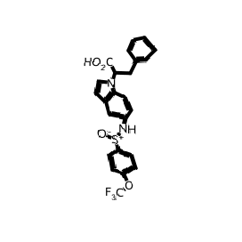 O=C(O)C(Cc1ccccc1)n1ccc2cc(N[S+]([O-])c3ccc(OC(F)(F)F)cc3)ccc21